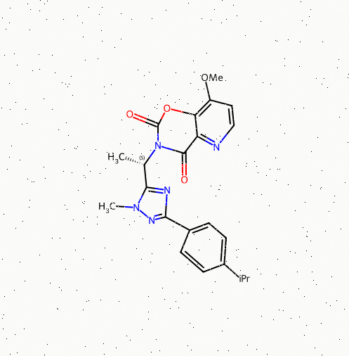 COc1ccnc2c(=O)n([C@@H](C)c3nc(-c4ccc(C(C)C)cc4)nn3C)c(=O)oc12